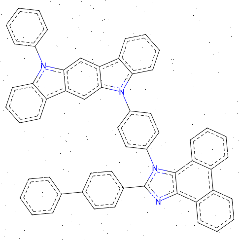 c1ccc(-c2ccc(-c3nc4c5ccccc5c5ccccc5c4n3-c3ccc(-n4c5ccccc5c5cc6c(cc54)c4ccccc4n6-c4ccccc4)cc3)cc2)cc1